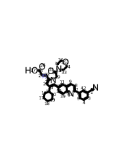 N#Cc1cccc(-c2ccc3cc(-c4c(C5CCCCC5)cc(/C=C/C(=O)O)n4CC(=O)N4CCOCC4)ccc3n2)c1